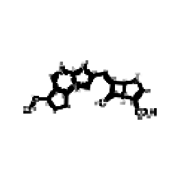 CCOC1CCc2c1cnc1nc(C=C3C(=O)N4C(C(=O)O)=CSC34)cn21